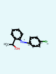 CC(O)c1ccccc1Nc1ccc(Br)cc1